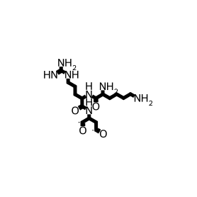 N=C(N)NCCCC(NC(=O)C(N)CCCCN)C(=O)NC([C]=O)C[C]=O